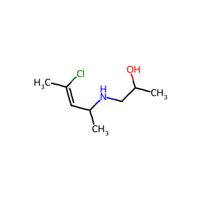 CC(Cl)=CC(C)NCC(C)O